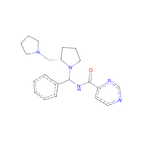 O=C(NC(c1ccccc1)N1CCC[C@H]1CN1CCCC1)c1ccncn1